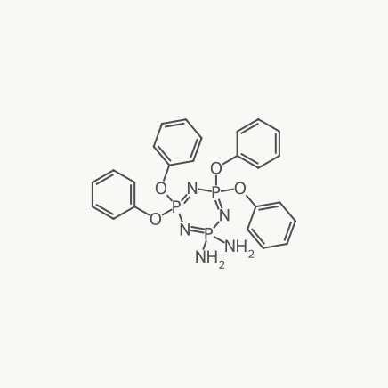 NP1(N)=NP(Oc2ccccc2)(Oc2ccccc2)=NP(Oc2ccccc2)(Oc2ccccc2)=N1